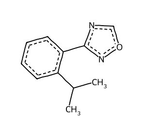 CC(C)c1ccccc1-c1ncon1